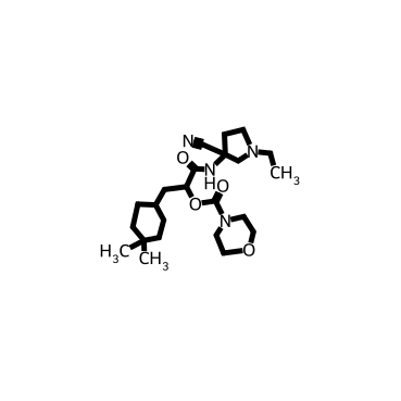 CCN1CCC(C#N)(NC(=O)C(CC2CCC(C)(C)CC2)OC(=O)N2CCOCC2)C1